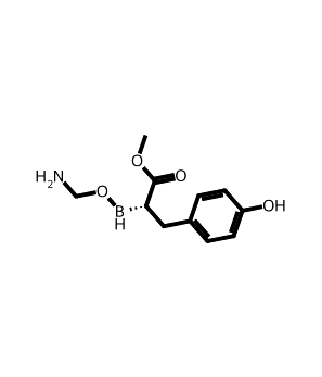 COC(=O)[C@@H](BOCN)Cc1ccc(O)cc1